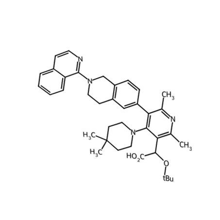 Cc1nc(C)c(C(OC(C)(C)C)C(=O)O)c(N2CCC(C)(C)CC2)c1-c1ccc2c(c1)CCN(c1nccc3ccccc13)C2